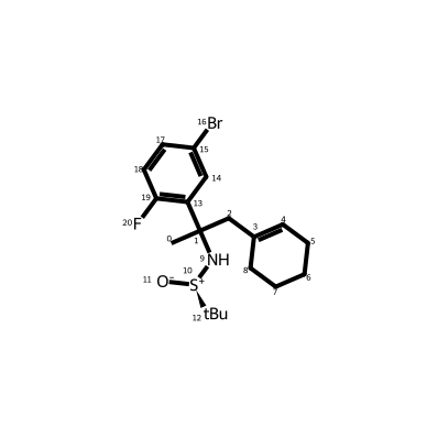 CC(CC1=CCCCC1)(N[S@+]([O-])C(C)(C)C)c1cc(Br)ccc1F